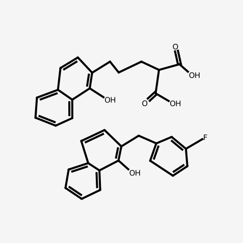 O=C(O)C(CCCc1ccc2ccccc2c1O)C(=O)O.Oc1c(Cc2cccc(F)c2)ccc2ccccc12